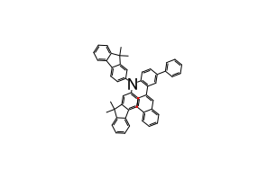 CC1(C)c2ccccc2-c2ccc(N(c3ccc4c(c3)C(C)(C)c3ccccc3-4)c3ccc(-c4ccccc4)cc3-c3ccc4ccccc4c3)cc21